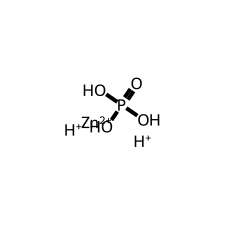 O=P(O)(O)O.[H+].[H+].[Zn+2]